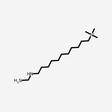 C[N+](C)(C)CCCCCCCCCCCNC[SiH3]